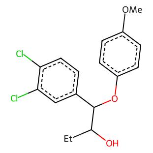 CCC(O)C(Oc1ccc(OC)cc1)c1ccc(Cl)c(Cl)c1